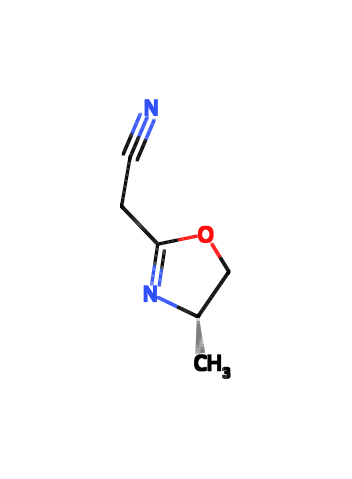 C[C@H]1COC(CC#N)=N1